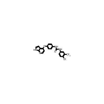 CCc1ccc(NC(=O)Nc2ccc(Oc3ccnc4[nH]ccc34)cc2)cc1C(F)(F)F